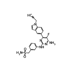 C#CCn1ccc2cc(-c3nc(Nc4cccc(CS(N)(=O)=O)c4)ncc3F)ccc21.N